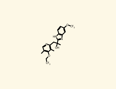 Cc1cnc(CC(C)(O)c2nc3cc(OC(F)(F)F)ccc3[nH]2)c(C)c1OCC(F)(F)F